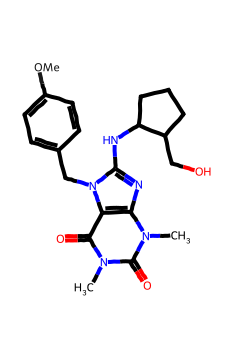 COc1ccc(Cn2c(NC3CCCC3CO)nc3c2c(=O)n(C)c(=O)n3C)cc1